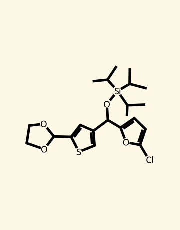 CC(C)[Si](OC(c1csc(C2OCCO2)c1)c1ccc(Cl)o1)(C(C)C)C(C)C